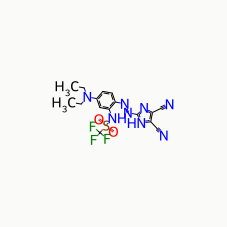 CCN(CC)c1ccc(/N=N/c2nc(C#N)c(C#N)[nH]2)c(NS(=O)(=O)C(F)(F)F)c1